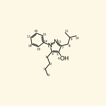 CCCCc1c(O)c(CC(C)C)nn1-c1ccccc1